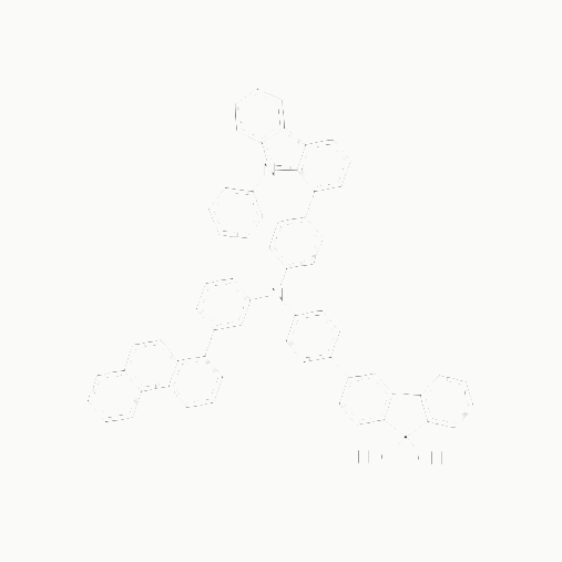 CC1(C)c2ccccc2-c2cc(-c3ccc(N(c4ccc(-c5cccc6c7ccccc7n(-c7ccccc7)c56)cc4)c4cccc(-c5cccc6c5ccc5ccccc56)c4)cc3)ccc21